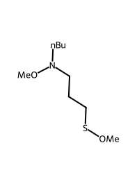 CCCCN(CCCSOC)OC